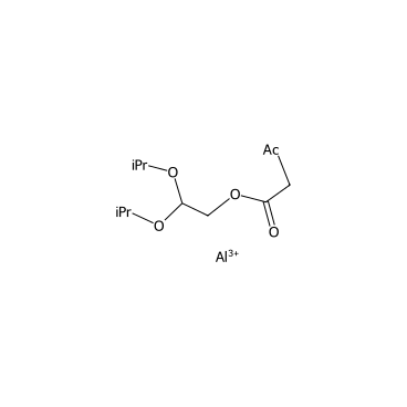 CC(=O)CC(=O)OCC(OC(C)C)OC(C)C.[Al+3]